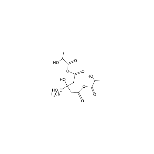 CC(O)C(=O)OC(=O)CC(O)(CC(=O)OC(=O)C(C)O)C(=O)O.[CaH2]